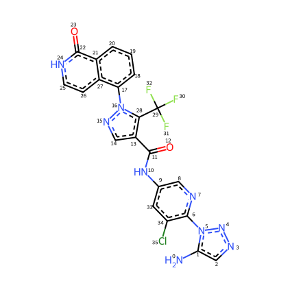 Nc1cnnn1-c1ncc(NC(=O)c2cnn(-c3cccc4c(=O)[nH]ccc34)c2C(F)(F)F)cc1Cl